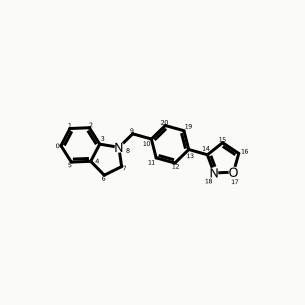 c1ccc2c(c1)CCN2Cc1ccc(-c2ccon2)cc1